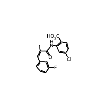 CC(=Cc1cccc(F)c1)C(=O)Nc1cc(Cl)ccc1C(=O)O